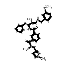 COc1cccc(CNC[C@@H](O)[C@H](Cc2ccccc2)NC(=O)c2cccc(C(=O)N(C)Cc3ccn(C)n3)c2)c1